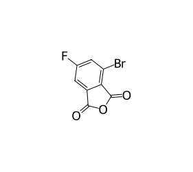 O=C1OC(=O)c2c(Br)cc(F)cc21